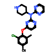 Cc1cc(C#N)cc(Cl)c1Oc1ccnc(N(c2ncccn2)C2CCNCC2)n1